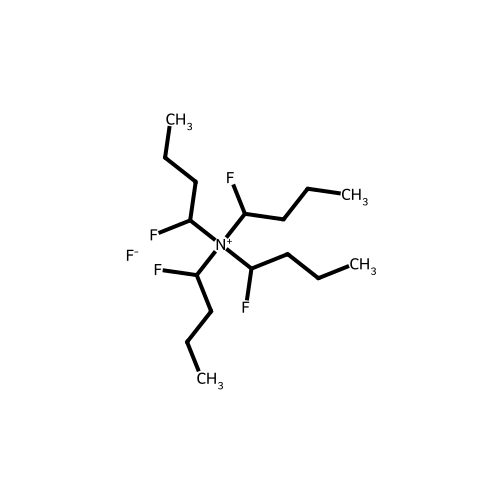 CCCC(F)[N+](C(F)CCC)(C(F)CCC)C(F)CCC.[F-]